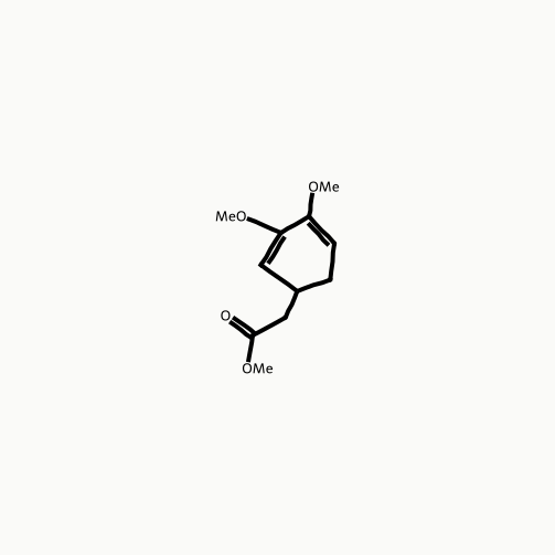 COC(=O)CC1C=C(OC)C(OC)=CC1